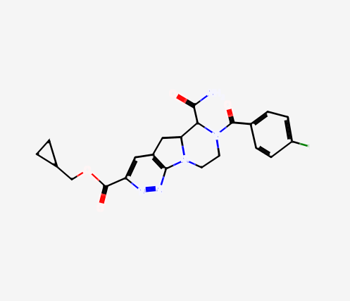 NC(=O)C1C2Cc3cc(C(=O)OCC4CC4)nnc3N2CCN1C(=O)c1ccc(F)cc1